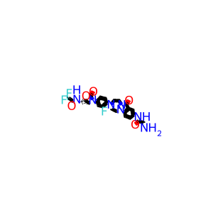 NCC(=O)Nc1ccc2c(c1)c(=O)n1n2CCN(c2ccc(N3C[C@H](CNC(=O)C(F)F)OC3=O)cc2F)CC1